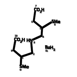 CSC(CNCC(CC(=O)O)SC)CC(=O)O.[BaH2]